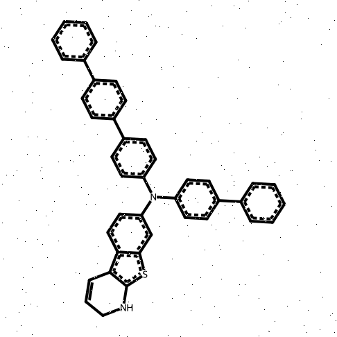 C1=Cc2c(sc3cc(N(c4ccc(-c5ccccc5)cc4)c4ccc(-c5ccc(-c6ccccc6)cc5)cc4)ccc23)NC1